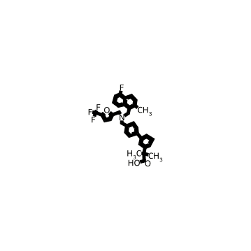 Cc1ccc2c(F)cccc2c1CN(Cc1ccc(-c2cccc(C(C)(C)C(=O)O)c2)cc1)Cc1ccc(C(F)(F)F)o1